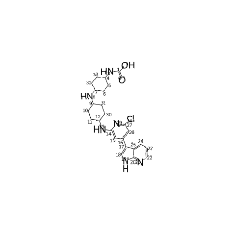 O=C(O)NC1CCC(NC2CCC(Nc3cc(-c4c[nH]c5ncccc45)cc(Cl)n3)CC2)CC1